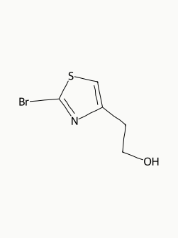 OCCc1csc(Br)n1